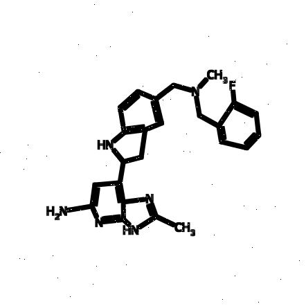 Cc1nc2c(C3Cc4cc(CN(C)Cc5ccccc5F)ccc4N3)cc(N)nc2[nH]1